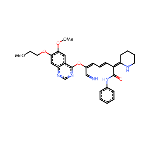 COCCOc1cc2ncnc(O/C(C=N)=C/C=C/C(C(=O)Nc3ccccc3)=C3\CCCCN3)c2cc1OOC